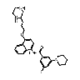 O=C(Nc1ccc(OCCCC2CNCCN2)c2ccccc12)c1cc(F)cc(N2CCCCC2)c1